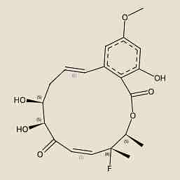 COc1cc(O)c2c(c1)/C=C/C[C@H](O)[C@H](O)C(=O)/C=C\[C@@](C)(F)[C@H](C)OC2=O